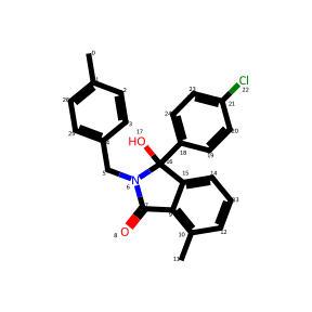 Cc1ccc(CN2C(=O)c3c(C)cccc3C2(O)c2ccc(Cl)cc2)cc1